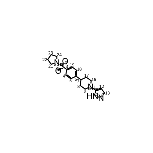 O=S(=O)(c1ccc(C2CCN(c3ccn[nH]3)CC2)cc1)N1CCCC1